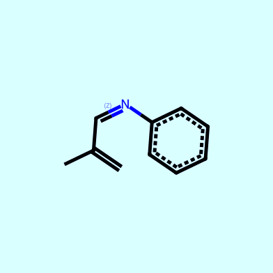 C=C(C)/C=N\c1ccccc1